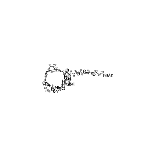 CC[C@H](C)[C@@H]1NC(=O)[C@H](CC(C)C)NC(=O)C2(CCCCC2)NC(=O)CCSCc2cccc(c2)CSC[C@@H](C(=O)NCCCOCCOCCOCCCNC)NC1=O